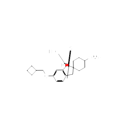 COC1CCC2(CC1)Cc1ccc(OCC3CCC3)cc1C21N=C(C)C(=S)N1